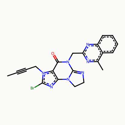 CC#CCn1c(Br)nc2c1C(=O)N(Cc1nc(C)c3ccccc3n1)C1=NCCN12